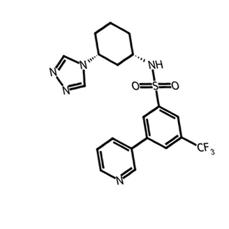 O=S(=O)(N[C@H]1CCC[C@@H](n2cnnc2)C1)c1cc(-c2cccnc2)cc(C(F)(F)F)c1